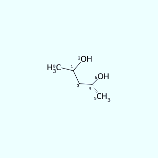 CC(O)C[C@@H](C)O